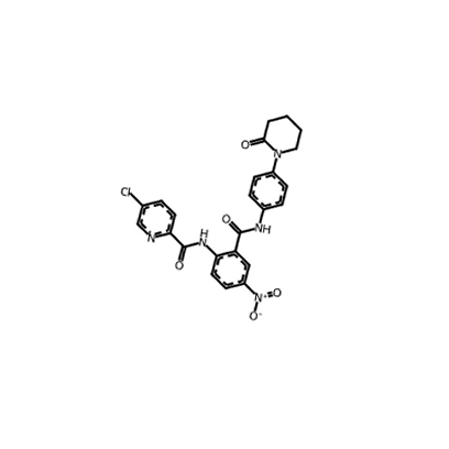 O=C(Nc1ccc([N+](=O)[O-])cc1C(=O)Nc1ccc(N2CCCCC2=O)cc1)c1ccc(Cl)cn1